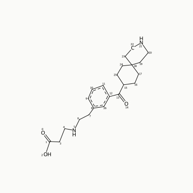 O=C(O)CCNCCc1cccc(C(=O)C2CCC3(CCNCC3)CC2)c1